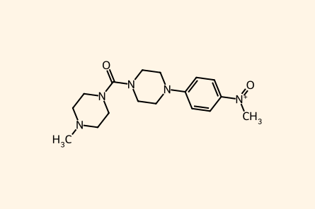 CN1CCN(C(=O)N2CCN(c3ccc([N+](C)=O)cc3)CC2)CC1